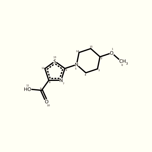 COC1CCN(c2nc(C(=O)O)cs2)CC1